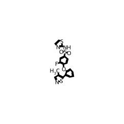 Cc1cnsc1-c1ccccc1Oc1ccc(S(=O)(=O)Nc2nccs2)cc1F